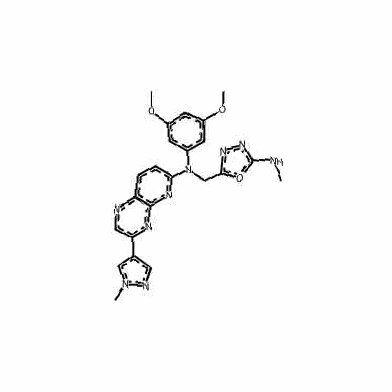 CNc1nnc(CN(c2cc(OC)cc(OC)c2)c2ccc3ncc(-c4cnn(C)c4)nc3n2)o1